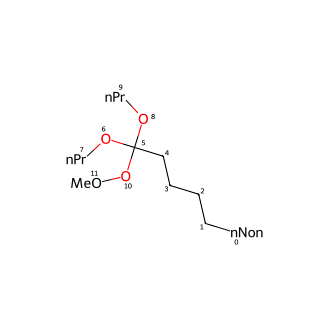 CCCCCCCCCCCCCC(OCCC)(OCCC)OOC